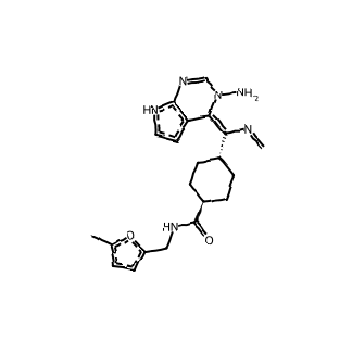 C=N/C(=C1/c2cc[nH]c2N=CN1N)[C@H]1CC[C@H](C(=O)NCc2ccc(C)o2)CC1